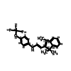 C[N+]1=C(C=CNc2ccc(OC(F)(F)F)cc2)C(C)(C)c2ccccc21